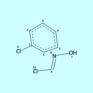 Clc1ccccc1.ON=CCl